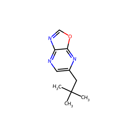 CC(C)(C)Cc1cnc2ncoc2n1